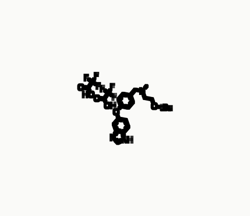 CN(CCOC(C)(C)C)Cc1ccc(Oc2ccc3[nH]cnc3c2)cc1.O=C(O)C(F)(F)F.O=C(O)C(F)(F)F